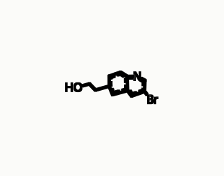 OCCc1ccc2ncc(Br)cc2c1